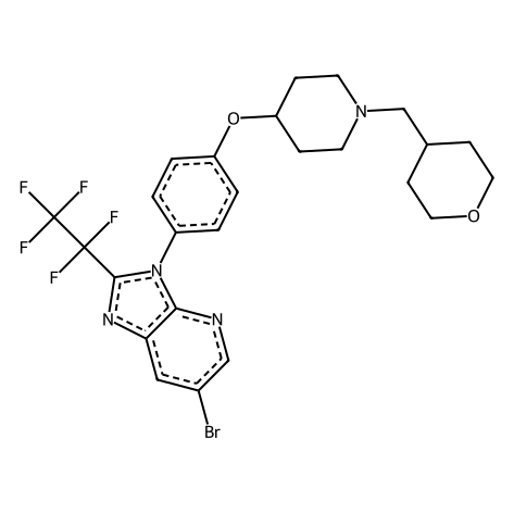 FC(F)(F)C(F)(F)c1nc2cc(Br)cnc2n1-c1ccc(OC2CCN(CC3CCOCC3)CC2)cc1